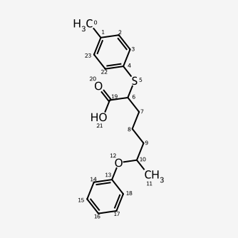 Cc1ccc(SC(CCCC(C)Oc2ccccc2)C(=O)O)cc1